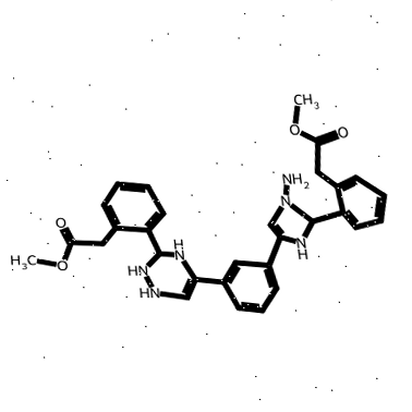 COC(=O)Cc1ccccc1C1NNC=C(c2cccc(C3=CN(N)C(c4ccccc4CC(=O)OC)N3)c2)N1